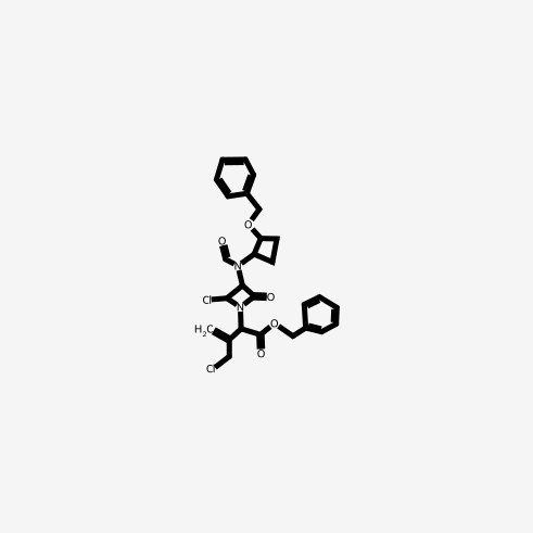 C=C(CCl)C(C(=O)OCc1ccccc1)N1C(=O)C(N(C=O)C2CCC2OCc2ccccc2)C1Cl